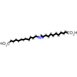 O=C(O)CCCCCCCCCCCNCCCCCCCCCCCC(=O)O